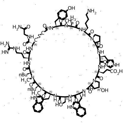 CCCC[C@H]1C(=O)N(C)[C@@H](CCCC)C(=O)N[C@@H](CCCNC(=N)N)C(=O)N[C@H](C(=O)NCC(N)=O)CSCC(=O)N[C@@H](Cc2ccc(O)cc2)C(=O)N(C)[C@@H](C)C(=O)N[C@@H](CCCCN)C(=O)N2CCC[C@H]2C(=O)N[C@@H](Cc2c[nH]cn2)C(=O)N[C@@H](CCC(=O)O)C(=O)N2C[C@H](O)C[C@H]2C(=O)N[C@@H](Cc2c[nH]c3ccccc23)C(=O)N[C@@H](CO)C(=O)N[C@@H](Cc2c[nH]c3ccccc23)C(=O)N1C